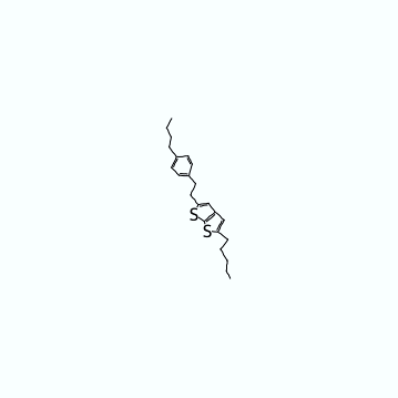 CCCCCc1cc2cc(CCc3ccc(CCCC)cc3)sc2s1